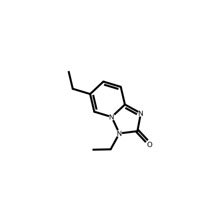 CCc1ccc2nc(=O)n(CC)n2c1